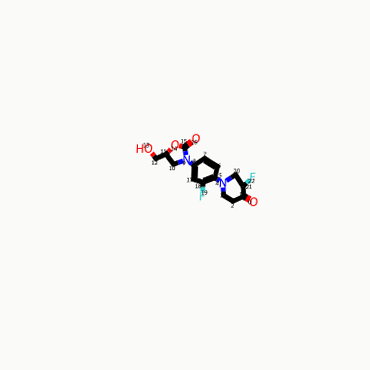 O=C1CCN(c2ccc(N3CC(CO)OC3=O)cc2F)CC1F